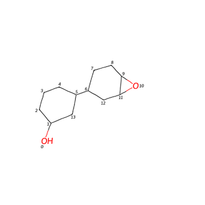 OC1CCCC(C2CCC3OC3C2)C1